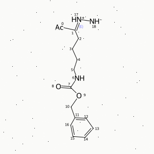 CC(=O)/C(CCCCNC(=O)OCc1ccccc1)=[NH+]/[NH-]